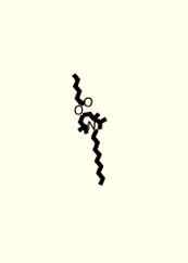 CCCCCCCCCCN1C(C)(C)CC(OC(=O)CCCCC)CC1(C)C(C)C